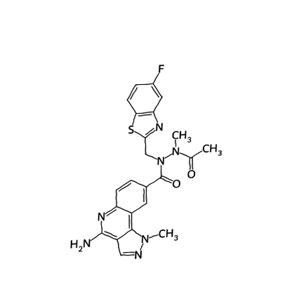 CC(=O)N(C)N(Cc1nc2cc(F)ccc2s1)C(=O)c1ccc2nc(N)c3cnn(C)c3c2c1